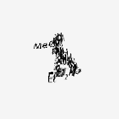 CCC(=O)CCCCC[C@H](NC(=O)[C@@H]1CC12CCN(C(N)=O)CC2)c1ncc(-c2cc3ccccc3nc2OC)[nH]1